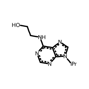 CC(C)n1cnc2c(NCCO)ncnc21